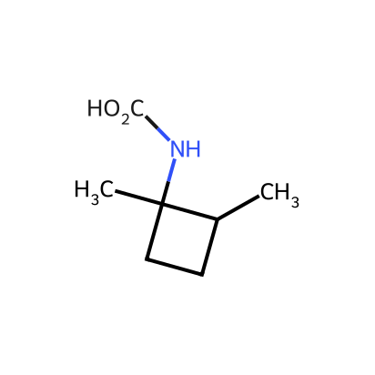 CC1CCC1(C)NC(=O)O